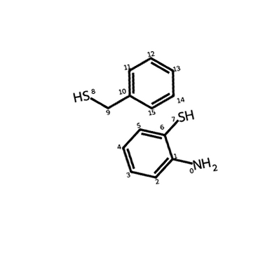 Nc1ccccc1S.SCc1ccccc1